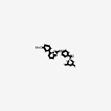 COc1cccc(-c2cccc3nc(Nc4ccc(C(=O)N5CC(C)CC(C)C5)cc4)nn23)c1